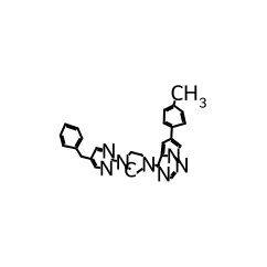 Cc1ccc(-c2cc3c(N4CCN(c5ncc(Cc6ccccc6)cn5)CC4)ncnn3c2)cc1